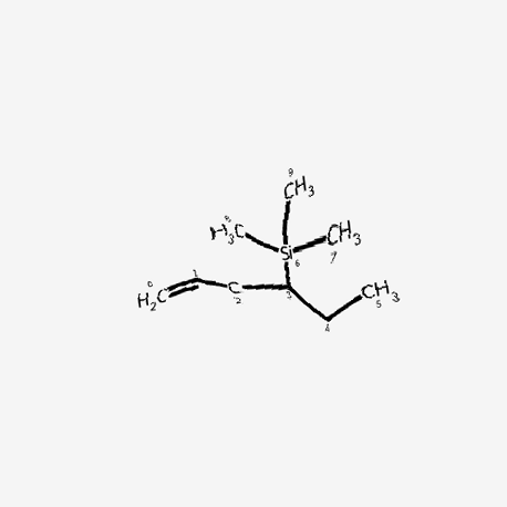 C=CCC(CC)[Si](C)(C)C